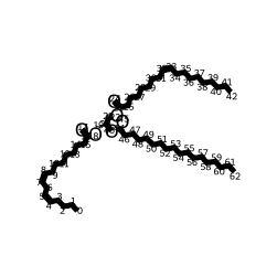 CCCC/C=C\C/C=C\CCCCCCCC(=O)OC[C@H](COC(=O)CCCCCCC/C=C\CCCCCCCCC)OC(=O)CCCCCCCCCCCCCCCCC